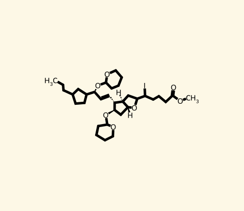 CCCC1CCC([C@@H](/C=C/[C@@H]2[C@H]3CC(C(I)CCCC(=O)OC)O[C@@H]3C[C@H]2OC2CCCCO2)OC2CCCCO2)C1